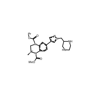 COC(=O)N1c2ccc(-c3cnn(CC4CNCCN4)c3)cc2N(C(=O)OC(C)C)C[C@@H]1C